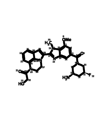 COc1cc(C(=O)N2C[C@H](N)C[C@@H](F)C2)cc2nc(-c3cc4cccc5c4n3CCN5C(=O)CO)n(C)c12